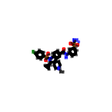 CC(=O)N1CCC2(CC1)c1cc(C(=O)Nc3cccc(S(N)(=O)=O)c3)ccc1N(S(=O)(=O)c1ccc(F)cc1)C2C1CC1